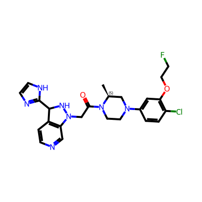 C[C@H]1CN(c2ccc(Cl)c(OCCF)c2)CCN1C(=O)CN1NC(c2ncc[nH]2)c2ccncc21